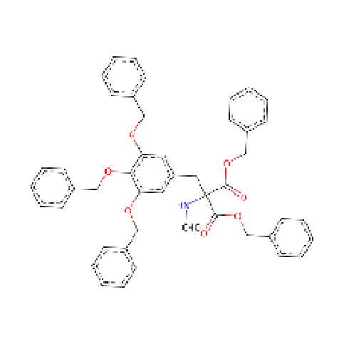 O=CNC(Cc1cc(OCc2ccccc2)c(OCc2ccccc2)c(OCc2ccccc2)c1)(C(=O)OCc1ccccc1)C(=O)OCc1ccccc1